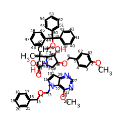 COc1ccc(CO[C@H]2[C@H](c3cn(COCc4ccccc4)c4c(OC)ncnc34)N(C(=O)O)[C@@](COC(c3ccccc3)(c3ccccc3)c3ccccc3)(C(C)(C)C)[C@H]2O)cc1